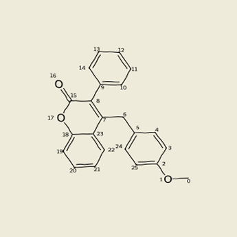 COc1ccc(Cc2c(-c3ccccc3)c(=O)oc3ccccc23)cc1